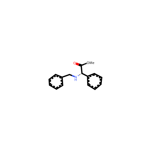 COC(=O)[C@@H](NCc1ccccc1)c1ccccc1